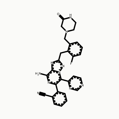 N#Cc1ccccc1-c1nc(N)c2nc(Cc3c(F)cccc3CN3CCNC(=O)C3)nn2c1-c1ccncn1